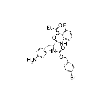 CCC(=O)Oc1c(F)cccc1NC(=O)[C@H](Cc1ccc(N)cc1)NC(=O)OCc1ccc(Br)cc1